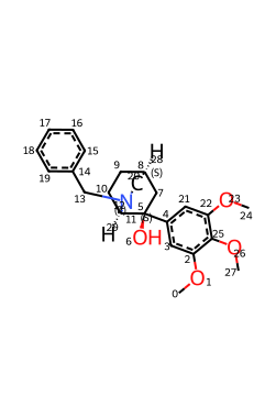 COc1cc([C@@]2(O)C[C@@H]3CC[C@H]2N(Cc2ccccc2)C3)cc(OC)c1OC